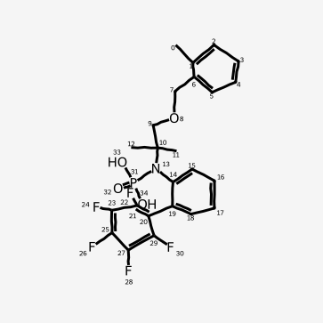 Cc1ccccc1COCC(C)(C)N(c1ccccc1-c1c(F)c(F)c(F)c(F)c1F)P(=O)(O)O